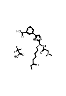 CCC(=O)CCCCC[C@H](NC(=O)CN(C)C)c1ncc(-c2cccc(C(=O)O)c2)[nH]1.O=C(O)C(F)(F)F